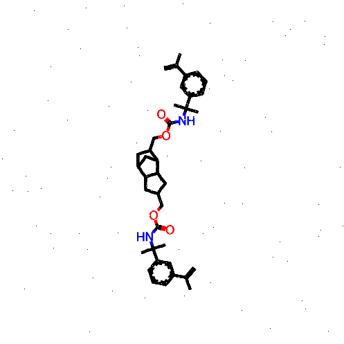 C=C(C)c1cccc(C(C)(C)NC(=O)OCC2CC3C4CC(COC(=O)NC(C)(C)c5cccc(C(=C)C)c5)C(C4)C3C2)c1